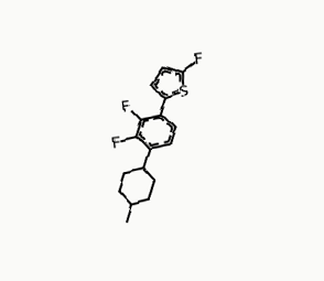 CC1CCC(c2ccc(-c3ccc(F)s3)c(F)c2F)CC1